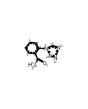 CC(=O)c1ccccc1-n1cnnn1